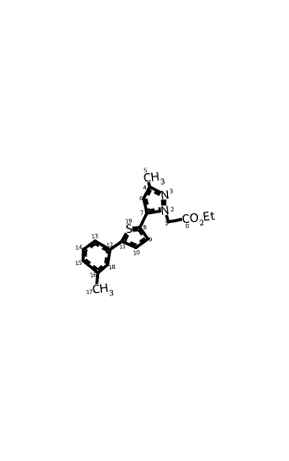 CCOC(=O)Cn1nc(C)cc1-c1ccc(-c2cccc(C)c2)s1